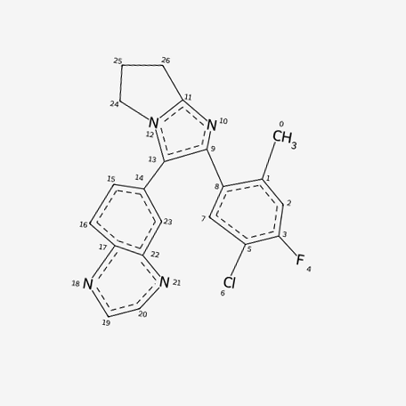 Cc1cc(F)c(Cl)cc1-c1nc2n(c1-c1ccc3nccnc3c1)CCC2